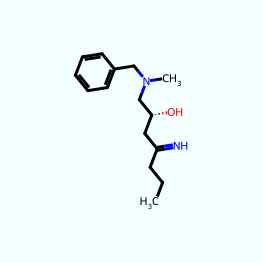 CCCC(=N)C[C@@H](O)CN(C)Cc1ccccc1